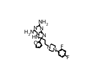 NC1=NC2=NC(CCN3CCN(c4ccc(F)cc4F)CC3)(c3ccco3)NN2C(N)=N1